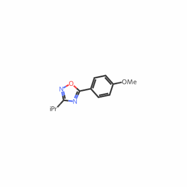 COc1ccc(-c2nc(C(C)C)no2)cc1